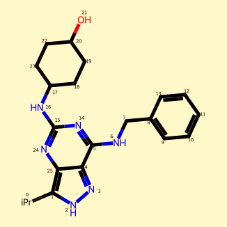 CC(C)c1[nH]nc2c(NCc3ccccc3)nc(NC3CCC(O)CC3)nc12